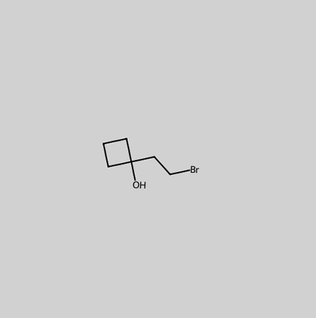 OC1(CCBr)CCC1